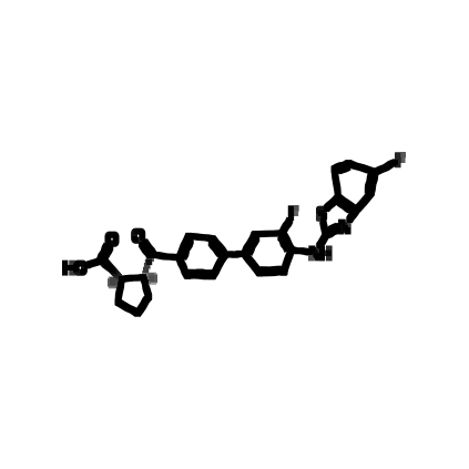 O=C(O)[C@@H]1CCC[C@H]1C(=O)c1ccc(-c2ccc(Nc3nc4cc(F)ccc4s3)c(F)c2)cc1